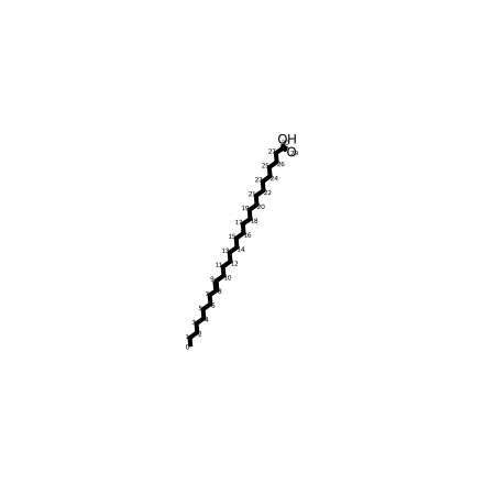 CCCCCCCCC=CCCCCCCCCCCCCCCCCCCC(=O)O